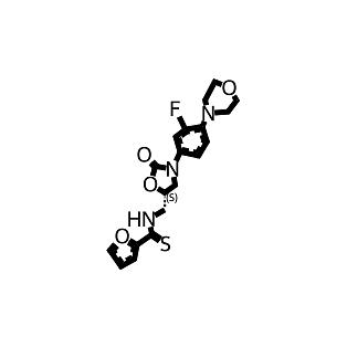 O=C1O[C@@H](CNC(=S)c2ccco2)CN1c1ccc(N2CCOCC2)c(F)c1